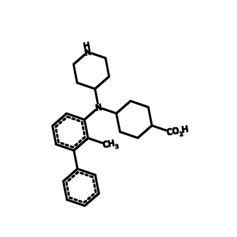 Cc1c(-c2ccccc2)cccc1N(C1CCNCC1)C1CCC(C(=O)O)CC1